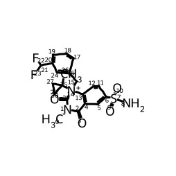 CN1C(=O)c2cc(S(N)(=O)=O)ccc2[N+](Cc2cccc(C(F)F)c2)(C2(C)CC2)C1=O